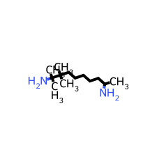 CC(N)CCCCCC(C)(C)C(C)(C)N